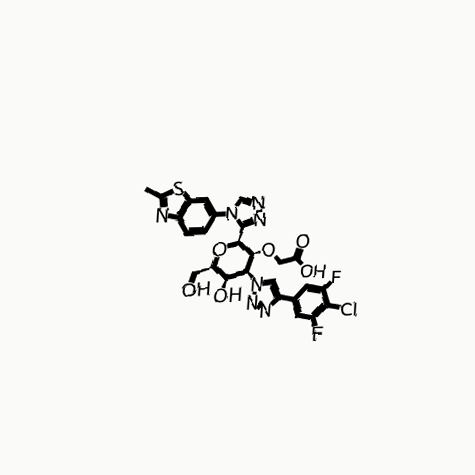 Cc1nc2ccc(-n3cnnc3[C@@H]3O[C@H](CO)[C@H](O)[C@H](n4cc(-c5cc(F)c(Cl)c(F)c5)nn4)[C@H]3OCC(=O)O)cc2s1